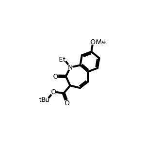 CCN1C(=O)C(C(=O)OC(C)(C)C)C=Cc2ccc(OC)cc21